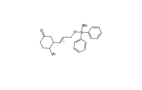 CC(C)C1CCC(=O)CC1/C=C/CO[Si](c1ccccc1)(c1ccccc1)C(C)(C)C